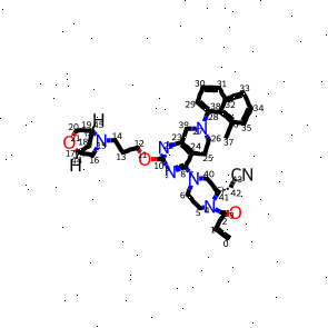 C=CC(=O)N1CCN(c2nc(OCCCN3C[C@@H]4C[C@H]3CO4)nc3c2CCN(c2cccc4cccc(C)c24)C3)C[C@@H]1CC#N